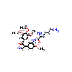 COc1ccc(-c2cnoc2-c2cc(OC)c(OC)c(OC)c2)cc1NC(=O)C(N)CCCCN